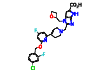 O=C(O)c1cc2c(nc(CN3CC=C(c4cc(F)cc(OCc5ccc(Cl)cc5F)n4)CC3)n2CC2CCO2)[nH]1